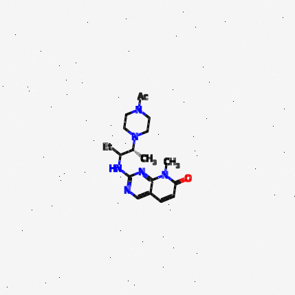 CCC(Nc1ncc2ccc(=O)n(C)c2n1)[C@@H](C)N1CCN(C(C)=O)CC1